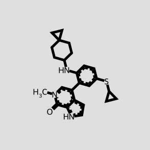 Cn1cc(-c2cc(SC3CC3)ccc2NC2CCC3(CC2)CC3)c2cc[nH]c2c1=O